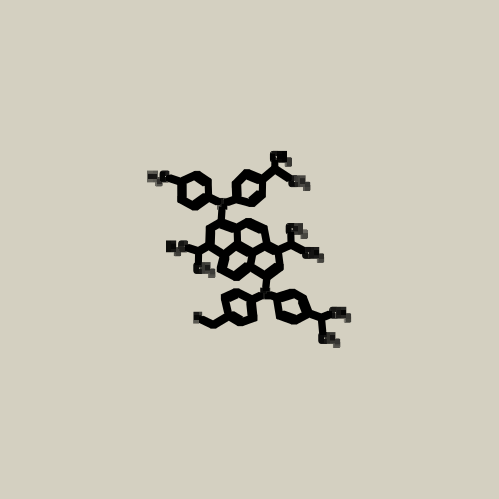 Cc1ccc(N(c2ccc(C(C)C)cc2)c2cc(C(C)C)c3ccc4c(N(c5ccc(CF)cc5)c5ccc(C(C)C)cc5)cc(C(C)C)c5ccc2c3c54)cc1